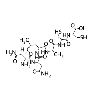 CC(C)CC(NC(=O)C(CC(N)=O)NC(=O)C(N)CC(N)=O)C(=O)NC(C)C(=O)NC(CS)C(=O)NC(CS)C(=O)O